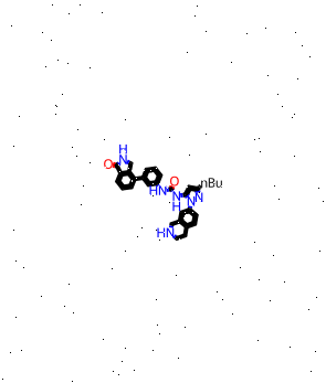 CCCCc1cc(NC(=O)Nc2cccc(-c3cccc4c3CNC4=O)c2)n(-c2ccc3c(c2)CNCC3)n1